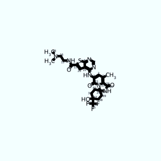 Cc1cc(Nc2ncnc3sc(C(=O)NCCN(C)C)cc23)c(=O)n2c1C(=O)NC21CCC(O)(C(F)(F)F)CC1